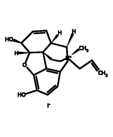 C=CC[N@@+]1(C)CC[C@]23c4c5ccc(O)c4O[C@H]2[C@@H](O)C=C[C@H]3[C@H]1C5.[I-]